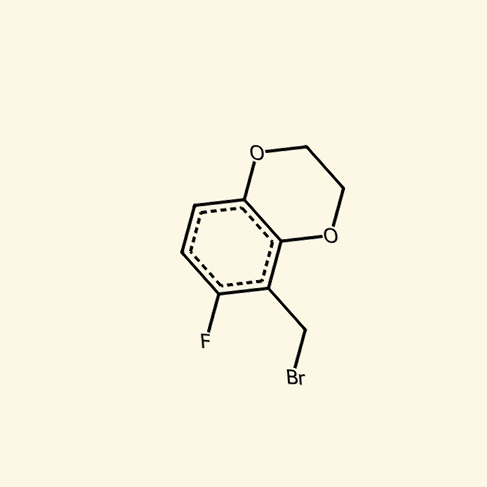 Fc1ccc2c(c1CBr)OCCO2